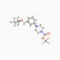 CC(C)(C)OC(=O)N1CCN(c2cccc(CO[Si](C)(C)C(C)(C)C)c2)CC1